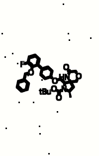 C[C@@H]1CC2(COCC(=O)N2)C(COC2CC=C(c3cccc(F)c3OCc3ccccc3)CC2)N1C(=O)OC(C)(C)C